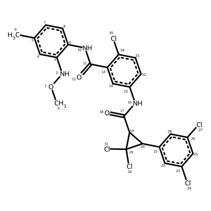 CONc1cc(C)ccc1NC(=O)c1cc(NC(=O)C2C(c3cc(Cl)cc(Cl)c3)C2(Cl)Cl)ccc1Cl